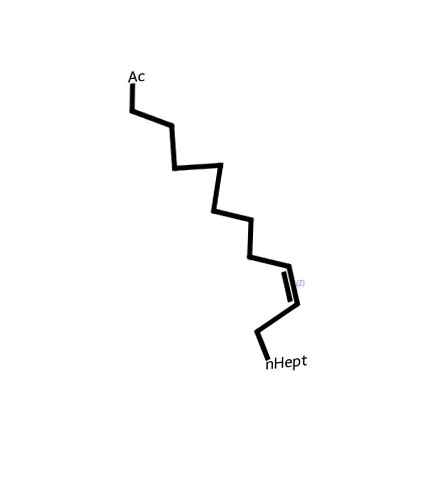 [CH]C(=O)CCCCCCC/C=C\CCCCCCCC